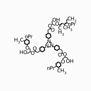 C=C/C(CCC)=C(C)\C=C(/C)OCC(CO)OC(=O)Cc1ccc(N2CN(c3ccc(CC(=O)OC(CO)COc4ccc(CCC)c(C)c4)cc3)CN(c3ccc(CC(=O)OC(CO)COc4ccc(CCC)c(C)c4)cc3)C2)cc1